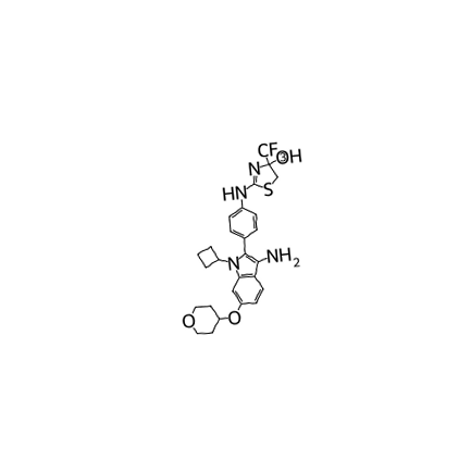 Nc1c(-c2ccc(NC3=NC(O)(C(F)(F)F)CS3)cc2)n(C2CCC2)c2cc(OC3CCOCC3)ccc12